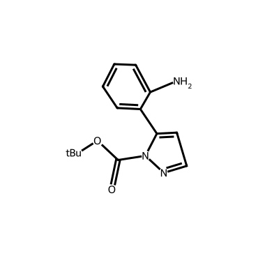 CC(C)(C)OC(=O)n1nccc1-c1ccccc1N